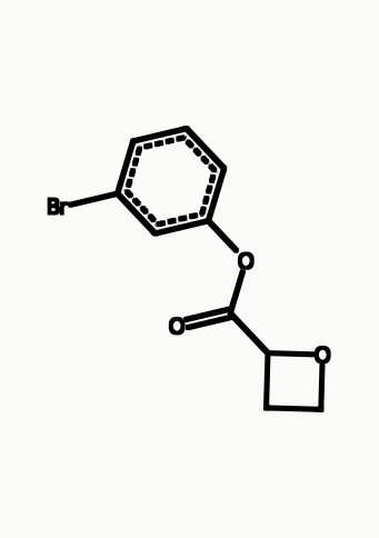 O=C(Oc1cccc(Br)c1)C1CCO1